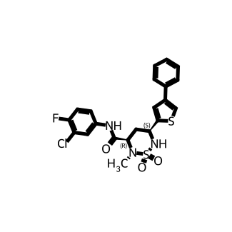 CN1[C@@H](C(=O)Nc2ccc(F)c(Cl)c2)C[C@@H](c2cc(-c3ccccc3)cs2)NS1(=O)=O